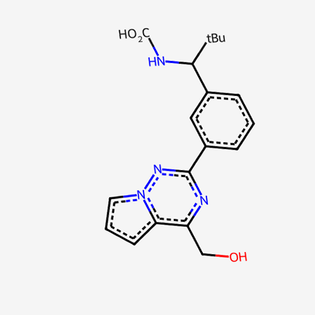 CC(C)(C)C(NC(=O)O)c1cccc(-c2nc(CO)c3cccn3n2)c1